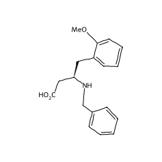 COc1ccccc1C[C@H](CC(=O)O)NCc1ccccc1